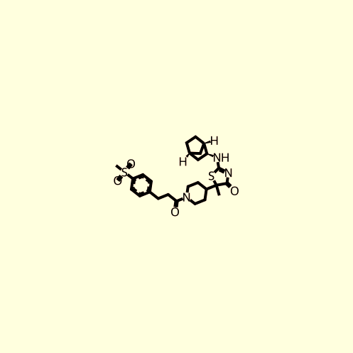 CC1(C2CCN(C(=O)CCc3ccc(S(C)(=O)=O)cc3)CC2)SC(N[C@H]2C[C@@H]3CC[C@H]2C3)=NC1=O